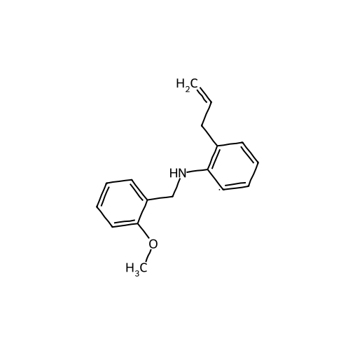 C=CCc1ccc[c]c1NCc1ccccc1OC